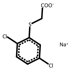 O=C([O-])CSc1cc(Cl)ccc1Cl.[Na+]